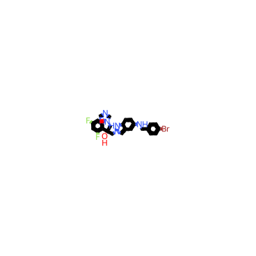 OC(CN1C=C2C=C(NCc3ccc(Br)cc3)C=CC2N1)(Cn1cncn1)c1ccc(F)cc1F